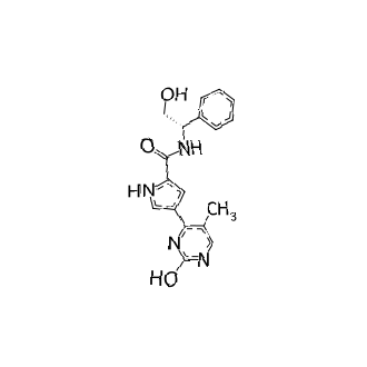 Cc1cnc(O)nc1-c1c[nH]c(C(=O)N[C@H](CO)c2ccccc2)c1